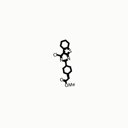 COC(=O)C=C1CCC(c2nc(Cl)c3c4c(sc3n2)CCCC4)CC1